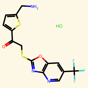 Cl.NCc1ccc(C(=O)CSc2nc3ncc(C(F)(F)F)cc3o2)s1